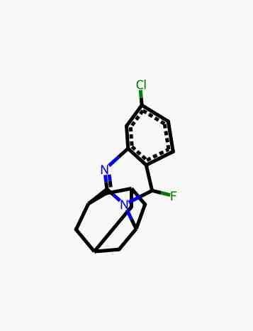 FC1c2ccc(Cl)cc2N=C2C3CC4CC(C3)CC(C4)N21